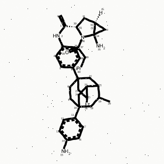 C=C(Nc1ccc(C23CCC4(c5ccc(N)cc5)CC(C)C(C2)C(C4)C(CC)C3)cc1)[C@@H]1C[C@H]2CC2(N)N1C(=O)CC(C)C